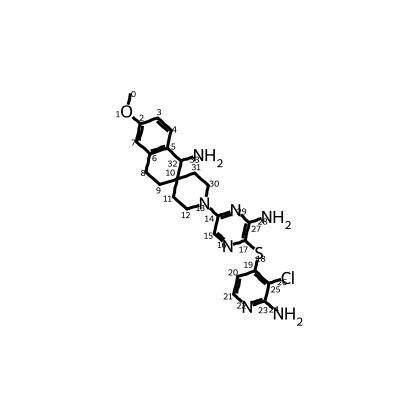 COc1ccc2c(c1)CCC1(CCN(c3cnc(Sc4ccnc(N)c4Cl)c(N)n3)CC1)C2N